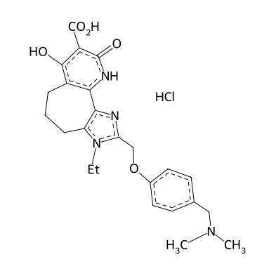 CCn1c(COc2ccc(CN(C)C)cc2)nc2c1CCCc1c-2[nH]c(=O)c(C(=O)O)c1O.Cl